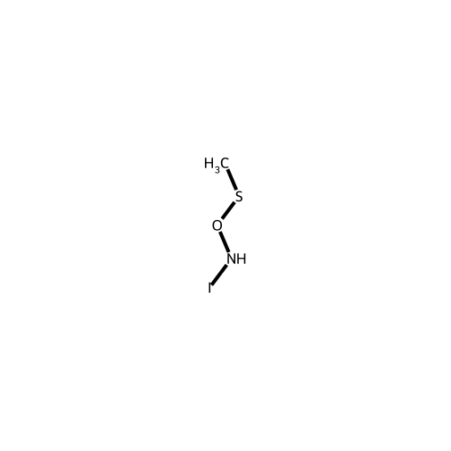 CSONI